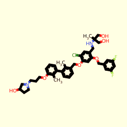 Cc1c(COc2cc(OCc3cc(F)cc(F)c3)c(CNC(C)(CO)CO)cc2Cl)cccc1-c1cccc(OCCCN2CCC(O)C2)c1C